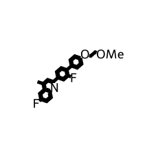 COCCOc1ccc(-c2ccc(-c3cc(C)c4cc(F)ccc4n3)cc2F)cc1